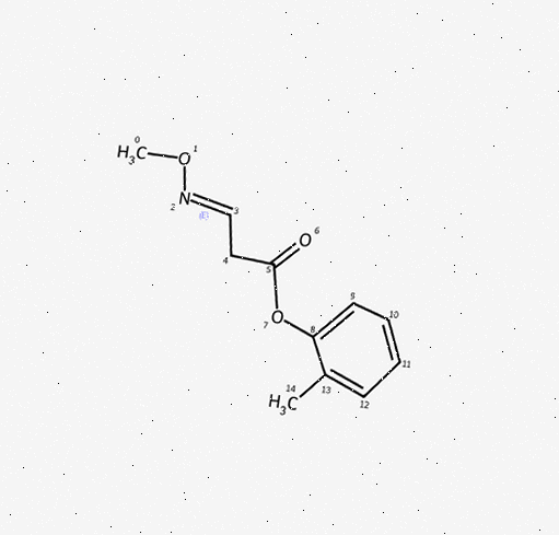 CO/N=C/CC(=O)Oc1ccccc1C